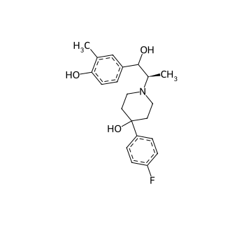 Cc1cc(C(O)[C@@H](C)N2CCC(O)(c3ccc(F)cc3)CC2)ccc1O